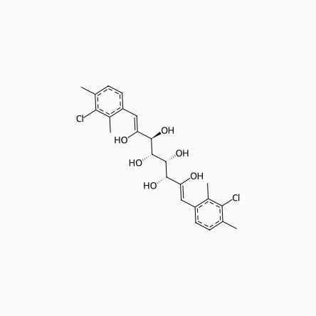 Cc1ccc(C=C(O)[C@@H](O)[C@@H](O)[C@H](O)[C@@H](O)C(O)=Cc2ccc(C)c(Cl)c2C)c(C)c1Cl